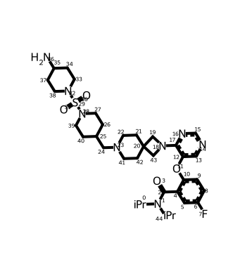 CC(C)N(C(=O)c1cc(F)ccc1Oc1cncnc1N1CC2(CCN(CC3CCN(S(=O)(=O)N4CCC(N)CC4)CC3)CC2)C1)C(C)C